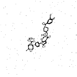 C[C@H]1CN(C(=O)OC(C)(C)C)[C@H](c2ccc(-n3c(Cl)cc4c(=O)n(CC5(O)CCN(C(=O)c6ccc(F)c(F)c6)CC5)cnc43)cc2)CO1